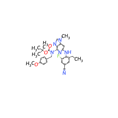 CCc1cc(C#N)cc(F)c1Nc1cc2c(ncn2C)c(N(Cc2ccc(OC)cc2)C(=O)OC(C)(C)C)n1